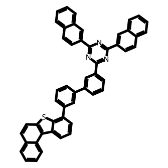 c1cc(-c2cccc(-c3cccc4c3sc3ccc5ccccc5c34)c2)cc(-c2nc(-c3ccc4ccccc4c3)nc(-c3ccc4ccccc4c3)n2)c1